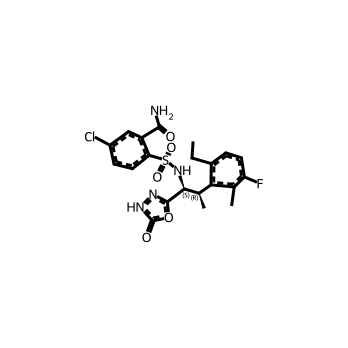 CCc1ccc(F)c(C)c1[C@@H](C)[C@H](NS(=O)(=O)c1ccc(Cl)cc1C(N)=O)c1n[nH]c(=O)o1